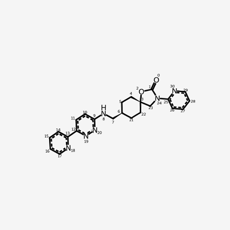 O=C1O[C@]2(CC[C@H](CNc3ccc(-c4ccccn4)nn3)CC2)CN1c1ccccn1